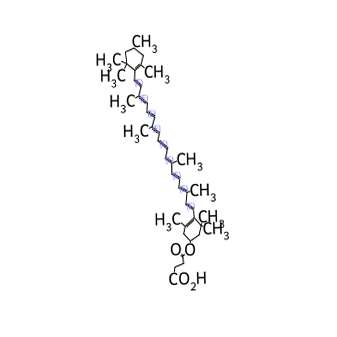 CC1=C(/C=C/C(C)=C/C=C/C(C)=C/C=C/C=C(C)/C=C/C=C(C)/C=C/C2=C(C)CC(OC(=O)CCC(=O)O)CC2(C)C)C(C)(C)CC(C)C1